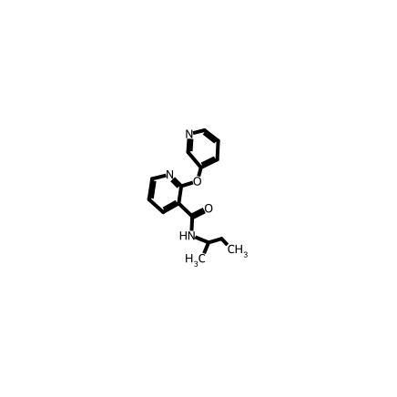 CCC(C)NC(=O)c1cccnc1Oc1cccnc1